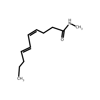 CCCC=C/C=C\CCC(=O)NC